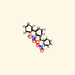 O=C(c1ccccc1[N+](=O)[O-])c1cccc(-c2ccccc2)c1[N+](=O)[O-]